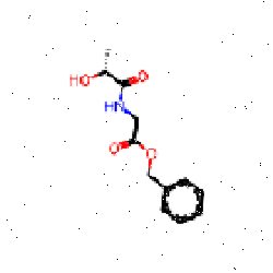 C[C@@H](O)C(=O)NCC(=O)OCc1ccccc1